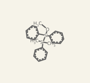 CO[Si](c1ccccc1)(c1ccccc1)[Si](C)(C)c1ccccc1